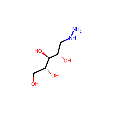 NNC[C@H](O)[C@H](O)[C@H](O)CO